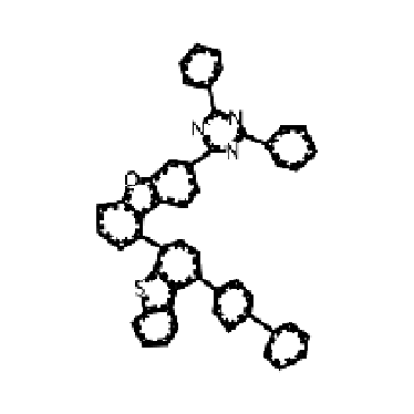 c1ccc(-c2ccc(-c3ccc(-c4cccc5oc6cc(-c7nc(-c8ccccc8)nc(-c8ccccc8)n7)ccc6c45)c4sc5ccccc5c34)cc2)cc1